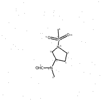 CN([C]=O)C1CCN(S(C)(=O)=O)C1